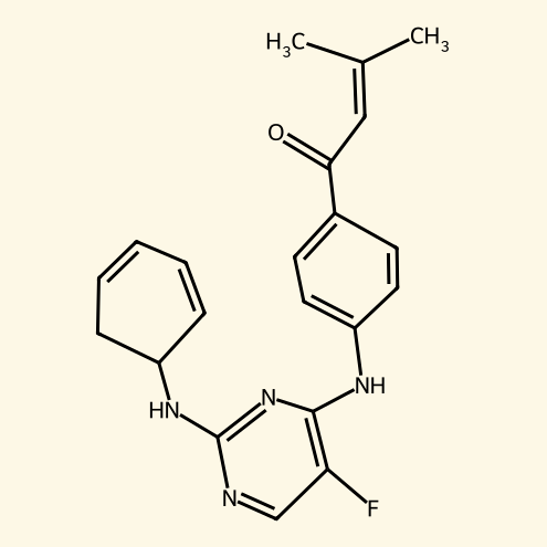 CC(C)=CC(=O)c1ccc(Nc2nc(NC3C=CC=CC3)ncc2F)cc1